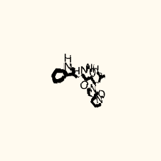 CC(C)C[C@@H](C(=O)C(=O)[C@H](Cc1c[nH]c2ccccc12)NN)N1CC[C@@]2(CCCN2C)C1=O